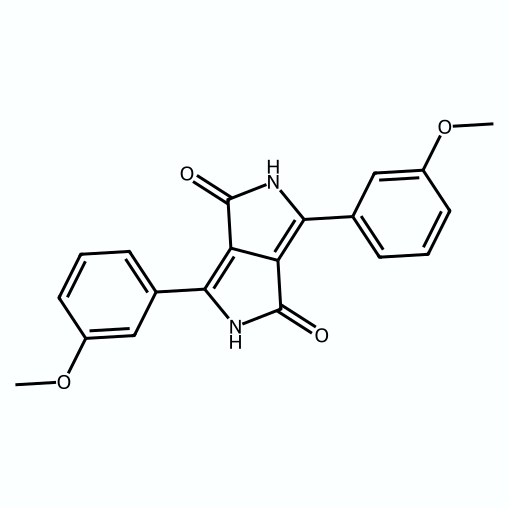 COc1cccc(C2=C3C(=O)NC(c4cccc(OC)c4)=C3C(=O)N2)c1